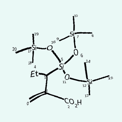 C=C(C(=O)O)C(CC)[Si](O[Si](C)(C)C)(O[Si](C)(C)C)O[Si](C)(C)C